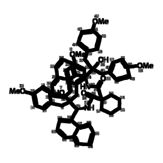 COc1ccc(CC(O)(Cc2ccc(OC)cc2)[C@@H](NC(=O)C2(C(=O)N[C@@H](c3cccc4ccccc34)C(O)(Cc3ccc(OC)cc3)Cc3ccc(OC)cc3)CCCCC2)c2cccc3ccccc23)cc1